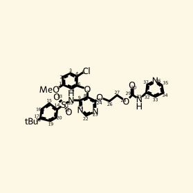 COc1ccc(Cl)c(Oc2c(NS(=O)(=O)c3ccc(C(C)(C)C)cc3)ncnc2OCCOC(=O)Nc2cccnc2)c1